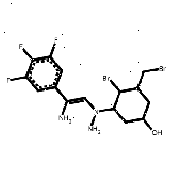 N/C(=C\N(N)C1CC(O)CC(CBr)C1Br)c1cc(F)c(F)c(F)c1